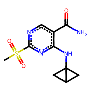 CS(=O)(=O)c1ncc(C(N)=O)c(NC23CC2C3)n1